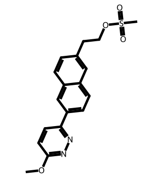 COc1ccc(-c2ccc3cc(CCOS(C)(=O)=O)ccc3c2)nn1